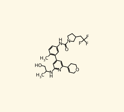 Cc1ccc(NC(=O)N2CCC(CC(F)(F)F)C2)cc1-c1cc(NC(C)CO)nc(C2=CCOCC2)c1